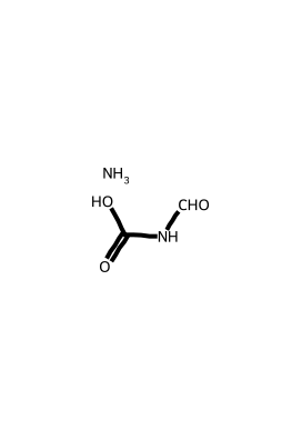 N.O=CNC(=O)O